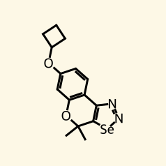 CC1(C)Oc2cc(OC3CCC3)ccc2-c2nn[se]c21